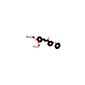 COCOc1ccc(C=CC(=O)c2cccc(Oc3ccccc3)c2)cc1OCOC